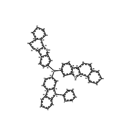 c1ccc(-n2c3ccccc3c3ccc(N(c4ccc5c(c4)oc4c6ccccc6ccc54)c4ccc5c(c4)oc4c6ccccc6ccc54)cc32)cc1